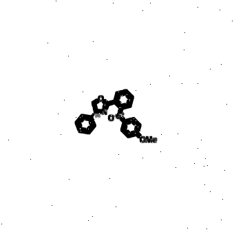 COc1ccc([S+]([O-])c2ccccc2C2=N[C@H](c3ccccc3)CO2)cc1